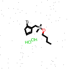 CCCCO[Si](C)(C)CC1=[C]([Ti])CC=C1.Cl.Cl